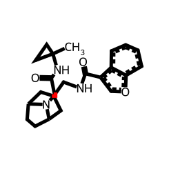 CC1(NC(=O)CN2C3CCC2CC(CNC(=O)c2coc4ccccc24)C3)CC1